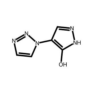 Oc1[nH]ncc1-n1ccnn1